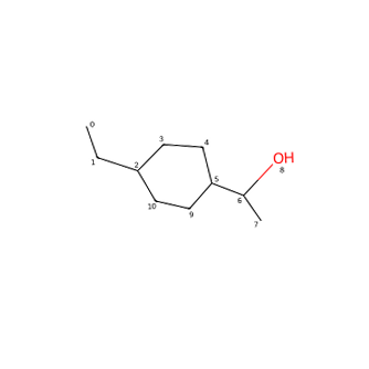 CCC1CCC(C(C)O)CC1